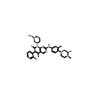 CCCN1CCC[C@H](n2c(=O)c(-c3ccccc3Cl)c(C)c3cnc(Nc4ccc(N5CCN(C)[C@H](C)C5)c(C)c4)nc32)C1